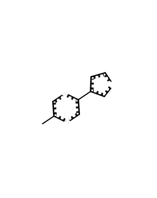 Cc1cnc(-c2ccsc2)cn1